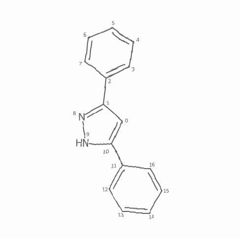 [c]1c(-c2ccccc2)n[nH]c1-c1ccccc1